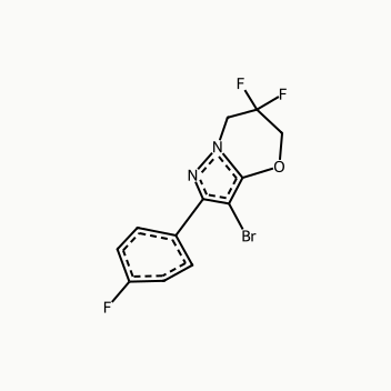 Fc1ccc(-c2nn3c(c2Br)OCC(F)(F)C3)cc1